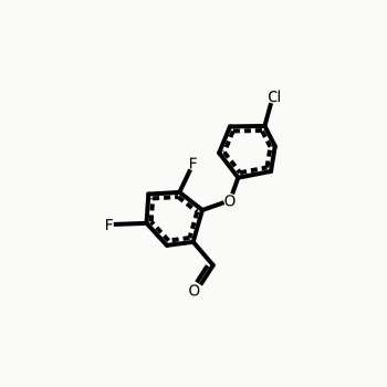 O=Cc1cc(F)cc(F)c1Oc1ccc(Cl)cc1